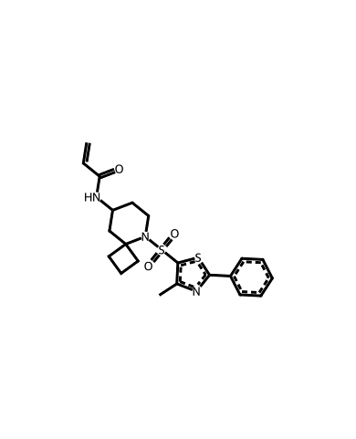 C=CC(=O)NC1CCN(S(=O)(=O)c2sc(-c3ccccc3)nc2C)C2(CCC2)C1